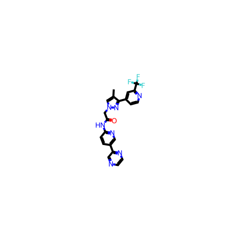 Cc1cn(CC(=O)Nc2ccc(-c3cnccn3)cn2)nc1-c1ccnc(C(F)(F)F)c1